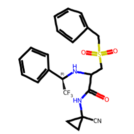 N#CC1(NC(=O)C(CS(=O)(=O)Cc2ccccc2)N[C@H](c2ccccc2)C(F)(F)F)CC1